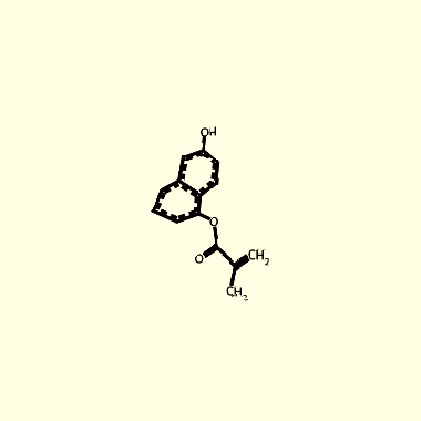 C=C(C)C(=O)Oc1cccc2cc(O)ccc12